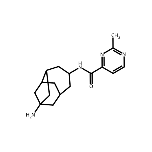 Cc1nccc(C(=O)NC2CC3CC4CC(N)(C3)CC4C2)n1